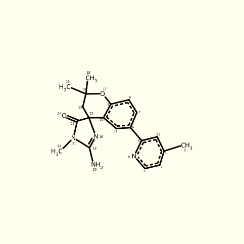 Cc1ccnc(-c2ccc3c(c2)C2(CC(C)(C)O3)N=C(N)N(C)C2=O)c1